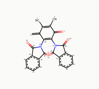 C=C1C(C#N)=C(C#N)C(=O)C(N2C(=O)c3ccccc3C2=O)=C1N1C(=O)c2ccccc2C1=O